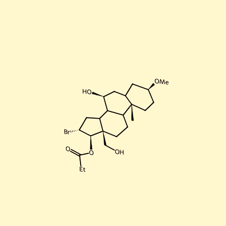 CCC(=O)O[C@H]1[C@H](Br)CC2C3C(CC[C@@]21CO)[C@@]1(C)CC[C@H](OC)CC1C[C@@H]3O